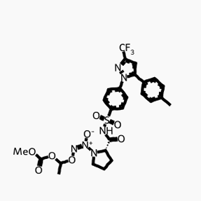 COC(=O)OC(C)O/N=[N+](/[O-])N1CCC[C@H]1C(=O)NS(=O)(=O)c1ccc(-n2nc(C(F)(F)F)cc2-c2ccc(C)cc2)cc1